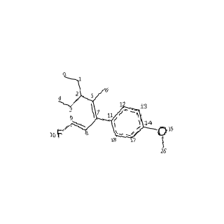 CCC(CC)/C(C)=C(\C=[C]\F)c1ccc(OC)cc1